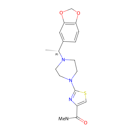 CNC(=O)c1csc(N2CCN([C@H](C)c3ccc4c(c3)OCO4)CC2)n1